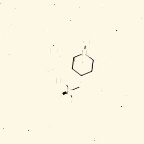 CN1CC[C@H](CP(=O)(O)O)C[C@@H]1C(=O)O